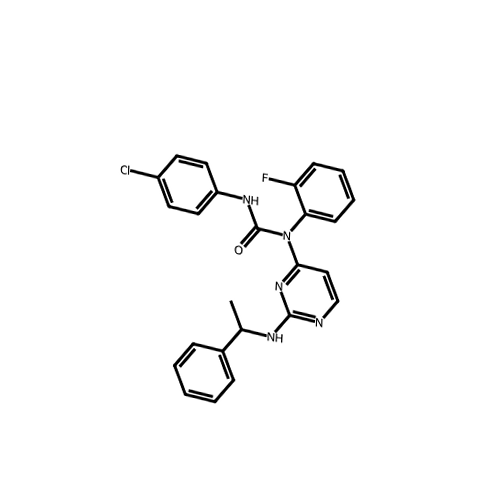 CC(Nc1nccc(N(C(=O)Nc2ccc(Cl)cc2)c2ccccc2F)n1)c1ccccc1